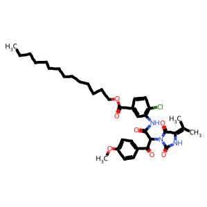 CCCCCCCCCCCCCCOC(=O)c1ccc(Cl)c(NC(=O)C(C(=O)c2ccc(OC)cc2)N2C(=O)NC(=C(C)C)C2=O)c1